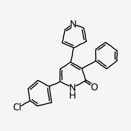 O=c1[nH]c(-c2ccc(Cl)cc2)cc(-c2ccncc2)c1-c1ccccc1